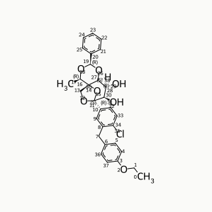 CCOc1ccc(Cc2cc([C@]34OC[C@@]5(O3)[C@@H](C)O[C@@H](c3ccccc3)O[C@H]5[C@H](O)[C@H]4O)ccc2Cl)cc1